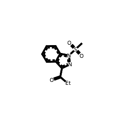 CCC(=O)c1nn(S(C)(=O)=O)c2ccccc12